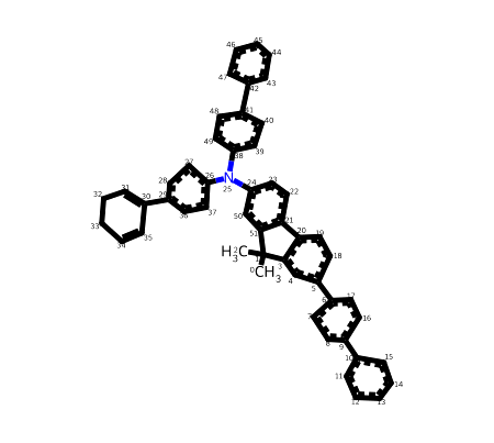 CC1(C)c2cc(-c3ccc(-c4ccccc4)cc3)ccc2-c2ccc(N(c3ccc(C4=CCCC=C4)cc3)c3ccc(-c4ccccc4)cc3)cc21